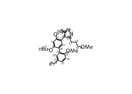 CCCCOc1cc(OCCCC)c(-c2nnnn2CCCOC)cc1-c1cc(C(C)C)ccc1OC